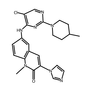 CC1CCN(c2ncc(Cl)c(Nc3ccc4c(c3)cc(-n3ccnc3)c(=O)n4C)n2)CC1